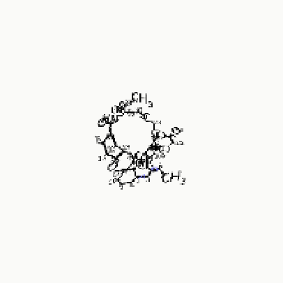 C=C1/C(=C\C(Cl)=C/C)CCC[C@]12COc1ccc3cc1N(C[C@@H]1CC[C@H]1[C@@]1(CCCC[C@@H](CC)S(=O)(=O)NC3=O)COCC(=O)O1)C2